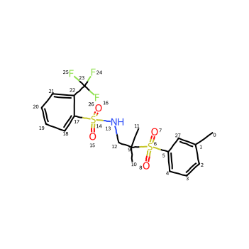 Cc1cccc(S(=O)(=O)C(C)(C)CNS(=O)(=O)c2ccccc2C(F)(F)F)c1